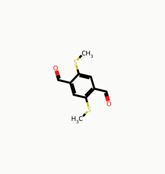 CSc1cc(C=O)c(SC)cc1C=O